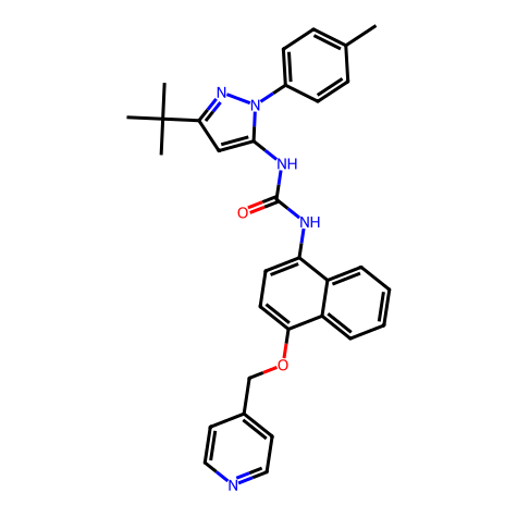 Cc1ccc(-n2nc(C(C)(C)C)cc2NC(=O)Nc2ccc(OCc3ccncc3)c3ccccc23)cc1